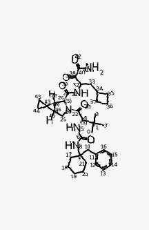 CC(C)(C)[C@H](NC(=O)NC1(Cc2ccccc2)CCCCC1)C(=O)N1C[C@H]2[C@@H]([C@H]1C(=O)NC(CC1CCC1)C(=O)C(N)=O)C21CC1